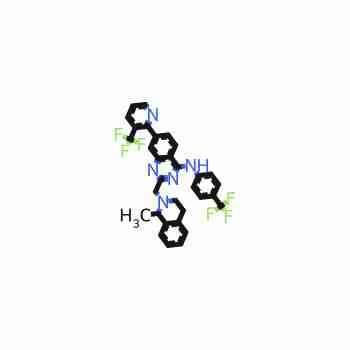 CC1c2ccccc2CCN1Cc1nc(Nc2ccc(C(F)(F)F)cc2)c2ccc(-c3ncccc3C(F)(F)F)cc2n1